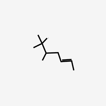 [CH2]C(C)(C)C(C)CC=CC